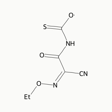 CCON=C(C#N)C(=O)NC([O])=S